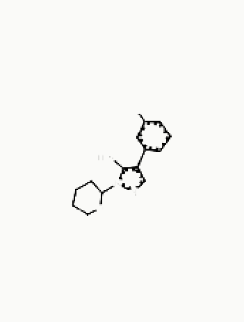 Cc1cccc(-c2cnn(C3CCCCO3)c2N)c1